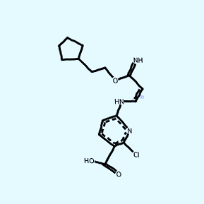 N=C(/C=C\Nc1ccc(C(=O)O)c(Cl)n1)OCCC1CCCC1